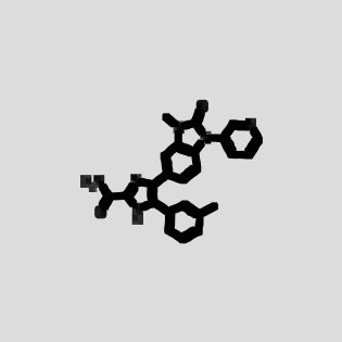 Cc1cccc(-c2[nH]c(C(N)=O)nc2-c2ccc3c(c2)n(C)c(=O)n3-c2cccnc2)c1